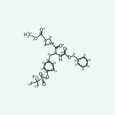 COC(=O)C1CN(C(=O)C(Cc2ccc(OS(=O)(=O)C(F)(F)F)cc2)NC(=O)OCc2ccccc2)C1